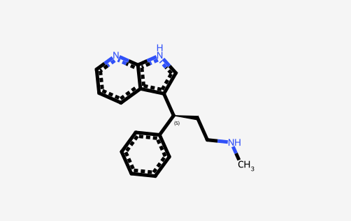 CNCC[C@@H](c1ccccc1)c1c[nH]c2ncccc12